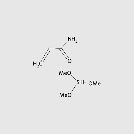 C=CC(N)=O.CO[SiH](OC)OC